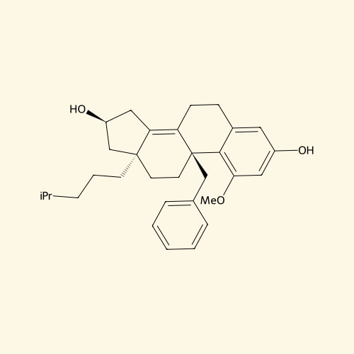 COc1cc(O)cc2c1[C@]1(Cc3ccccc3)CC[C@@]3(CCCC(C)C)C[C@@H](O)CC3=C1CC2